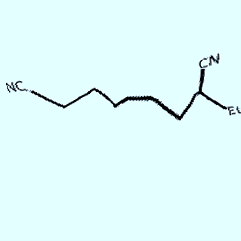 CCC(C#N)CCCCCC#N